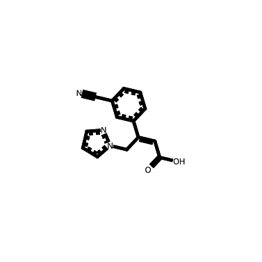 N#Cc1cccc(/C(=C/C(=O)O)Cn2cccn2)c1